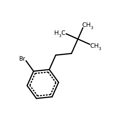 CC(C)(C)CCc1ccccc1Br